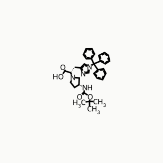 CC(C)(C)OC(=O)N[C@@H]1CCN([C@@H](Cc2cn(C(c3ccccc3)(c3ccccc3)c3ccccc3)cn2)C(=O)O)C1